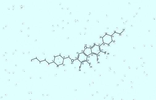 CCCCCC1CCC(COc2cc3oc4cc(C5CCC(CCC)CC5)c(F)c(F)c4c3c(F)c2F)CC1